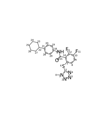 Cn1nnnc1Sc1ccc(F)c(F)c1C(=O)Nc1ccc(C2CCCCC2)cc1